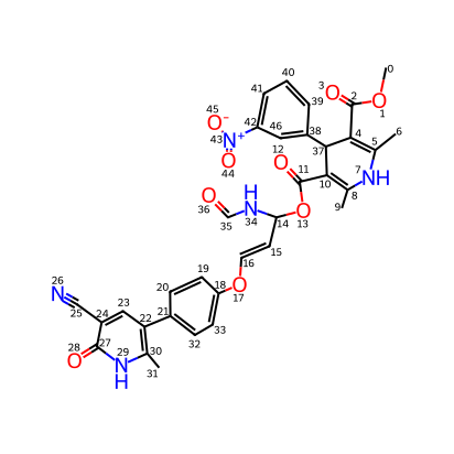 COC(=O)C1=C(C)NC(C)=C(C(=O)OC(C=COc2ccc(-c3cc(C#N)c(=O)[nH]c3C)cc2)NC=O)C1c1cccc([N+](=O)[O-])c1